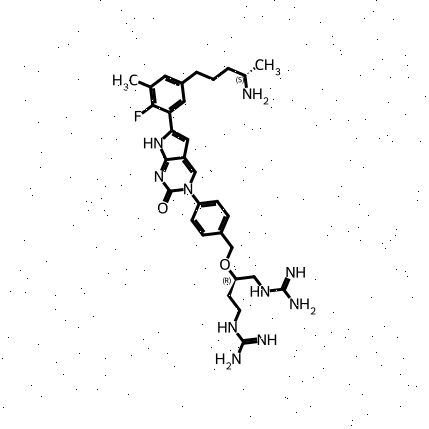 Cc1cc(CCC[C@H](C)N)cc(-c2cc3cn(-c4ccc(CO[C@H](CCNC(=N)N)CNC(=N)N)cc4)c(=O)nc3[nH]2)c1F